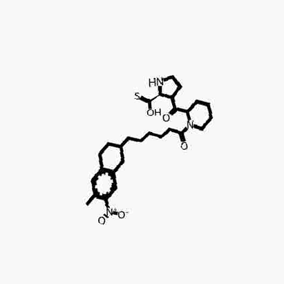 Cc1cc2c(cc1[N+](=O)[O-])CC(CCCCCC(=O)N1CCCCC1C(=O)C1CCN[C@@H]1C(O)=S)CC2